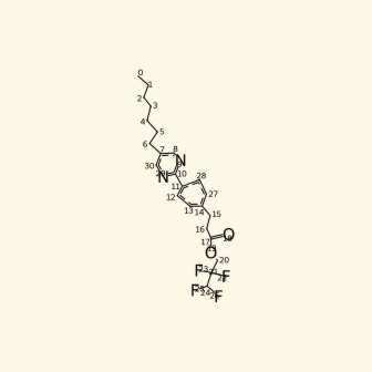 CCCCCCCc1cnc(-c2ccc(CCC(=O)OCC(F)(F)C(F)F)cc2)nc1